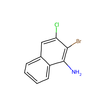 Nc1c(Br)c(Cl)cc2ccccc12